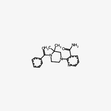 CC1(C)CN(c2ncccc2C(N)=O)CCN1C(=O)c1ccccc1